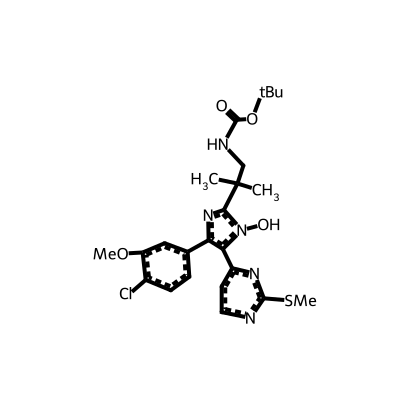 COc1cc(-c2nc(C(C)(C)CNC(=O)OC(C)(C)C)n(O)c2-c2ccnc(SC)n2)ccc1Cl